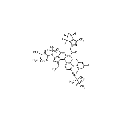 C[C@@H](O)[C@H](NC(=O)N(c1nn(CC(F)(F)F)c2c(-c3ccc(C#CC(C)(C)S(C)(=O)=O)nc3[C@H](Cc3cc(F)cc(F)c3)NC(=O)Cn3nc(C(F)(F)F)c4c3C(F)(F)[C@@H]3C[C@H]43)ccc(Cl)c12)S(C)(=O)=O)C(=O)O